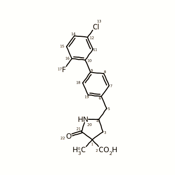 CC1(C(=O)O)CC(Cc2ccc(-c3cc(Cl)ccc3F)cc2)NC1=O